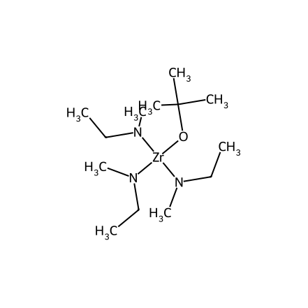 CC[N](C)[Zr]([O]C(C)(C)C)([N](C)CC)[N](C)CC